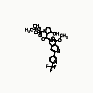 COC(=O)c1cnc(-c2ccc(C(F)(F)F)nc2)cc1CNC(=O)C1C(O)CCN1C(=O)OC(C)(C)C